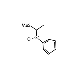 CSC(C)[S+]([O-])c1ccccc1